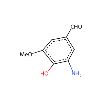 COc1cc(C=O)cc(N)c1O